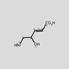 CCCCCC(O)/C=C/C(=O)O